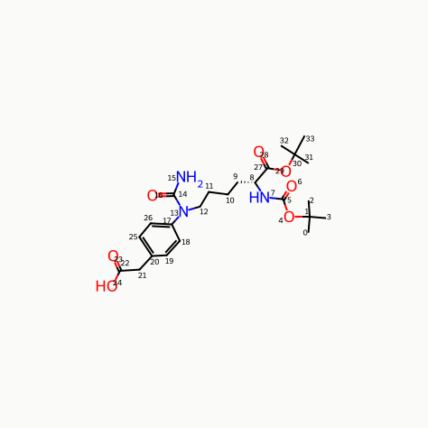 CC(C)(C)OC(=O)N[C@H](CCCCN(C(N)=O)c1ccc(CC(=O)O)cc1)C(=O)OC(C)(C)C